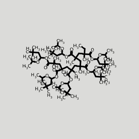 CCC(C)(CC(C)(CC(C)(CC(C)(CC(C)(CC(C)(C)C(=O)OC(CC(C)(C)C)OC(C)C)C(=O)OC(CC(C)(C)C)OC(C)C)C(=O)OC(CC(C)(C)C)OC(C)C)C(=O)OC(CC(C)(C)C)OC(C)C)C(=O)OC(CC(C)(C)C)OC(C)C)C(=O)OC(CC(C)(C)C)OC(C)C